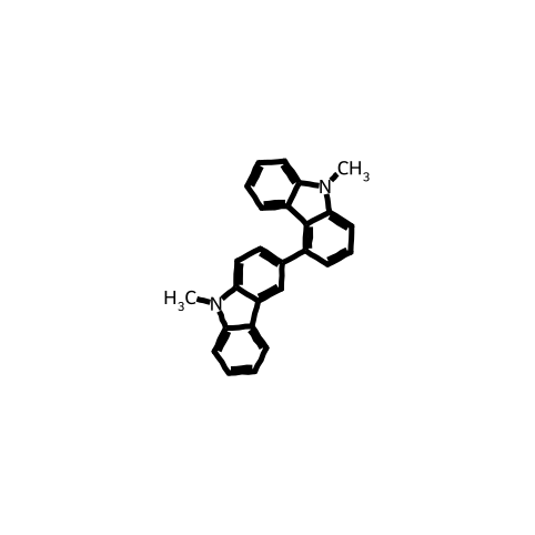 Cn1c2ccccc2c2cc(-c3cccc4c3c3ccccc3n4C)ccc21